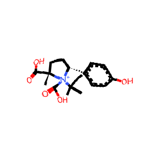 CC(C)(C)[N+]1(C(=O)O)[C@@H](c2ccc(O)cc2)CC[C@@]1(C)C(=O)O